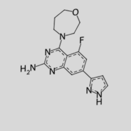 Nc1nc(N2CCCOCC2)c2c(F)cc(-c3cc[nH]n3)cc2n1